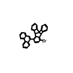 Brc1ccc(-c2cc3ccccc3c3ccccc23)c2c1C1c3ccccc3C13c1ccccc1C23